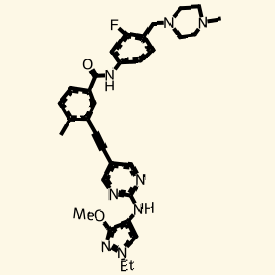 CCn1cc(Nc2ncc(C#Cc3cc(C(=O)Nc4ccc(CN5CCN(C)CC5)c(F)c4)ccc3C)cn2)c(OC)n1